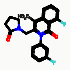 O=C(O)c1c(CN2CCCC2=O)n(-c2cccc(F)c2)c(=O)c2c(F)cccc12